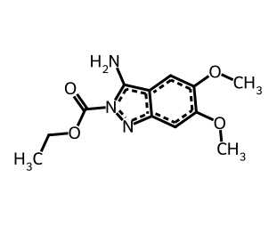 CCOC(=O)n1nc2cc(OC)c(OC)cc2c1N